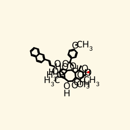 COc1ccc(C(=O)O[C@H]2[C@H]3C(C)(C(=O)[C@H](O)C4=C(C)[C@@H](OC(=O)/C=C/c5ccc6ccccc6c5)C[C@]2(O)C4(C)C)[C@@H](O)C[C@H]2OC[C@]23OC(C)=O)cc1